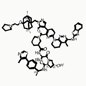 Cc1ncsc1-c1ccc([C@H](C)NC(=O)[C@@H]2C[C@@H](O)CN2C(=O)C(NC(=O)C2CCCN(C(=O)c3nc(N4CCCc5c4nnc(Nc4nc6ccccc6s4)c5C)ccc3-c3cnn(CC45CC6(OCCN7CCCC7)C[C@](C)(C4)C[C@](C)(C5)C6)c3C)C2)C(C)(C)C)cc1